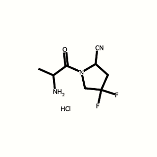 CC(N)C(=O)N1CC(F)(F)CC1C#N.Cl